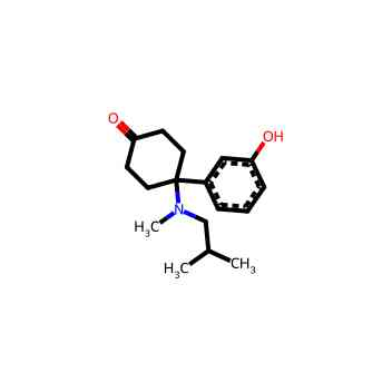 CC(C)CN(C)C1(c2cccc(O)c2)CCC(=O)CC1